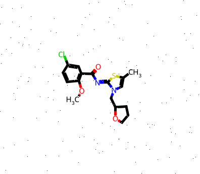 COc1ccc(Cl)cc1C(=O)N=c1sc(C)cn1CC1CCCO1